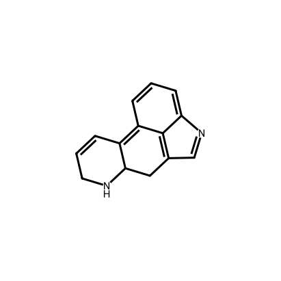 C1=CC2=c3cccc4c3=C(C=N4)CC2NC1